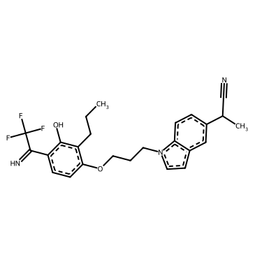 CCCc1c(OCCCn2ccc3cc(C(C)C#N)ccc32)ccc(C(=N)C(F)(F)F)c1O